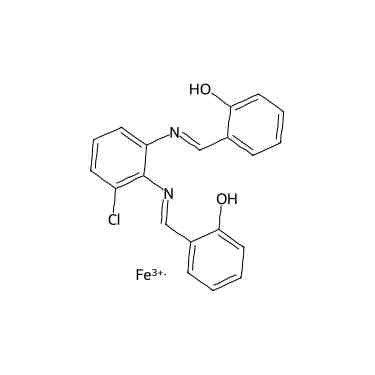 Oc1ccccc1C=Nc1cccc(Cl)c1N=Cc1ccccc1O.[Fe+3]